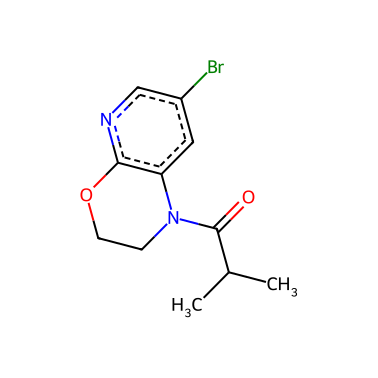 CC(C)C(=O)N1CCOc2ncc(Br)cc21